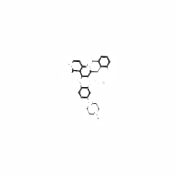 COc1cc(N2CCN(C)CC2)ccc1Nc1cc(Cc2c(Cl)cccc2Cl)nc2cc[nH]c(=O)c12